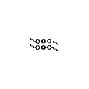 CCCCC[C@H]1CC[C@H](c2ccc([C@H]3CC[C@H](CCCC)CC3)cc2)CC1.CCCC[C@H]1CC[C@H](c2ccc([C@H]3CC[C@H](CCCC)CC3)cc2)CC1